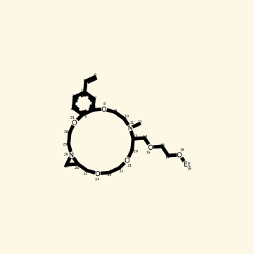 C=Cc1ccc2c(c1)OCCN(C)C(COCCOCC)COCCOCC1CN1CCO2